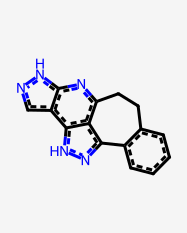 c1ccc2c(c1)CCc1nc3[nH]ncc3c3[nH]nc-2c13